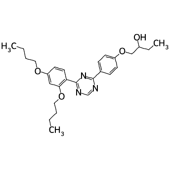 CCCCOc1ccc(-c2ncnc(-c3ccc(OCC(O)CC)cc3)n2)c(OCCCC)c1